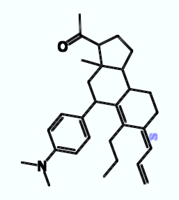 C=C/C=C1/CCC2C(=C1CCC)C(c1ccc(N(C)C)cc1)CC1(C)C(C(C)=O)CCC21